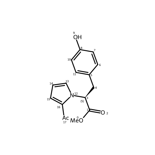 COC(=O)[C@H](Cc1ccc(O)cc1)n1cccc1C(C)=O